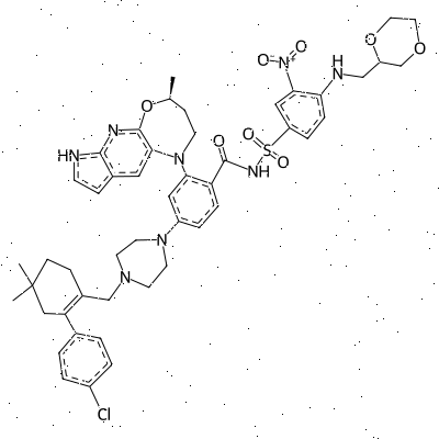 C[C@H]1CCN(c2cc(N3CCN(CC4=C(c5ccc(Cl)cc5)CC(C)(C)CC4)CC3)ccc2C(=O)NS(=O)(=O)c2ccc(NCC3COCCO3)c([N+](=O)[O-])c2)c2cc3cc[nH]c3nc2O1